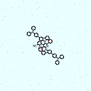 N#Cc1cccc(-c2c(-c3ccccc3)c(-n3c4ccccc4c4cc(-c5ccc(N(c6ccccc6)c6ccccc6)cc5)ccc43)nc(-c3ccccc3)c2-n2c3ccccc3c3cc(-c4ccc(N(c5ccccc5)c5ccccc5)cc4)ccc32)c1C#N